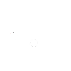 CCCCCCCOc1ccc(CCCC(CCC)OC(=O)C2CCCCC2)cc1